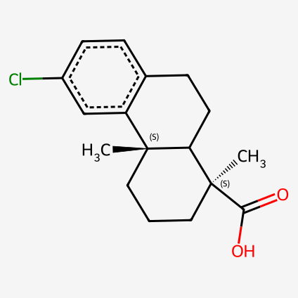 C[C@]1(C(=O)O)CCC[C@]2(C)c3cc(Cl)ccc3CCC12